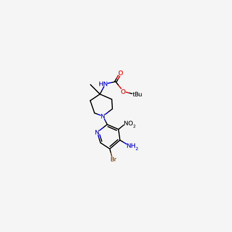 CC1(NC(=O)OC(C)(C)C)CCN(c2ncc(Br)c(N)c2[N+](=O)[O-])CC1